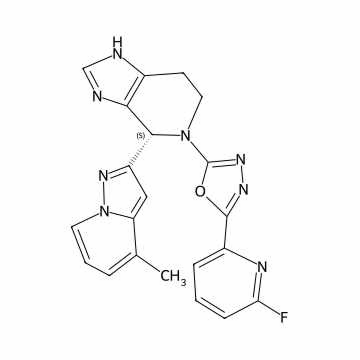 Cc1cccn2nc([C@@H]3c4nc[nH]c4CCN3c3nnc(-c4cccc(F)n4)o3)cc12